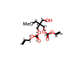 C=CCOC(=O)OCC(CO)(COC)COC(=O)OC=C